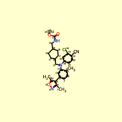 Cc1ccc(-c2c(C)noc2C)cc1N(CC1CCC(CNC(=O)OC(C)(C)C)CC1)c1ccc(C#N)c(Cl)c1